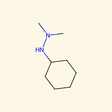 CN(C)N[C]1CCCCC1